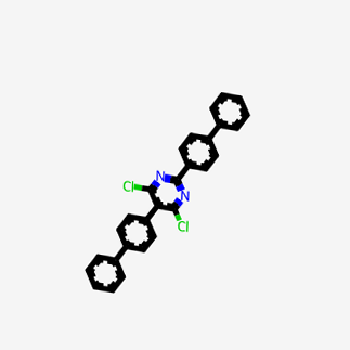 Clc1nc(-c2ccc(-c3ccccc3)cc2)nc(Cl)c1-c1ccc(-c2ccccc2)cc1